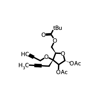 C#CCO[C@@]1(CC#CC)C(OC(C)=O)[C@@H](OC(C)=O)O[C@@H]1COC(=O)C(C)(C)C